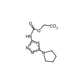 O=C(Nc1nnc(N2CCCC2)s1)OCC(Cl)(Cl)Cl